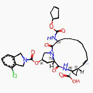 O=C(N[C@H]1CCCCC/C=C\[C@@H]2C[C@@]2(C(=O)O)NC(=O)[C@@H]2C[C@@H](OC(=O)N3Cc4cccc(Cl)c4C3)CN2C1=O)OC1CCCC1